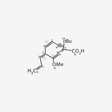 C=C/C=C(/C=C\C(C)CC)C(=C=C(CCCC)C(=O)O)OC